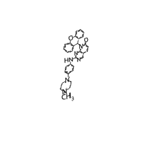 CN1CCN(c2ccc(Nc3ncc4ccc(=O)n(C5c6ccccc6Oc6ccccc65)c4n3)cc2)CC1